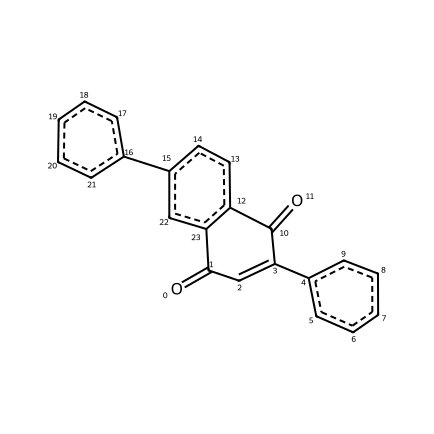 O=C1C=C(c2ccccc2)C(=O)c2ccc(-c3ccccc3)cc21